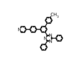 Cc1ccc(-c2cc(-c3ccc(-c4ccncc4)cc3)cc(-c3nc(-c4ccccc4)nc(-c4ccccc4)n3)c2)cc1